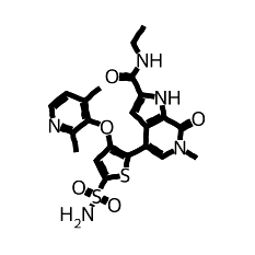 CCNC(=O)c1cc2c(-c3sc(S(N)(=O)=O)cc3Oc3c(C)ccnc3C)cn(C)c(=O)c2[nH]1